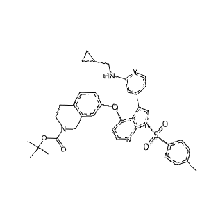 Cc1ccc(S(=O)(=O)n2cc(-c3ccnc(NCC4CC4)c3)c3c(Oc4ccc5c(c4)CN(C(=O)OC(C)(C)C)CC5)ccnc32)cc1